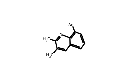 CC(=O)c1cccc2cc(C)c(C)nc12